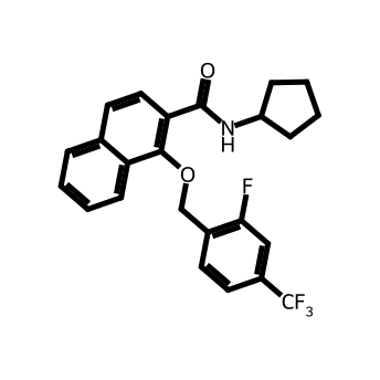 O=C(NC1CCCC1)c1ccc2ccccc2c1OCc1ccc(C(F)(F)F)cc1F